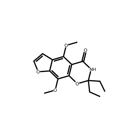 CCC1(CC)NC(=O)c2c(c(OC)c3occc3c2OC)O1